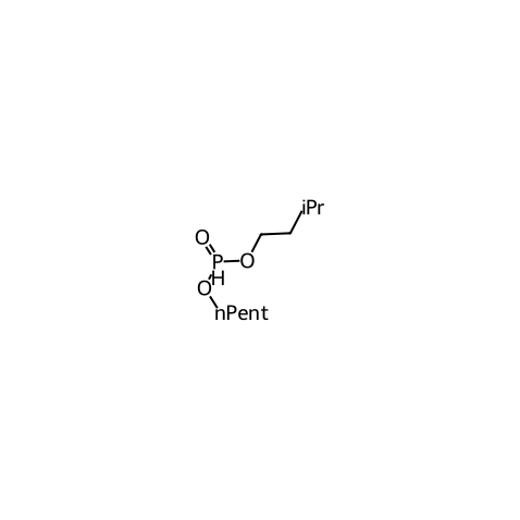 CCCCCO[PH](=O)OCCC(C)C